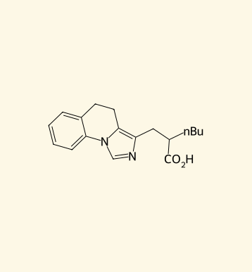 CCCCC(Cc1ncn2c1CCc1ccccc1-2)C(=O)O